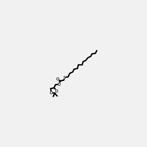 CCCCCCCCCCCCCCSCC(=O)OCC1COC(C)(C)O1